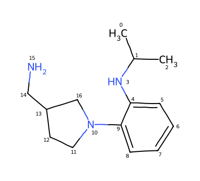 CC(C)Nc1ccccc1N1CCC(CN)C1